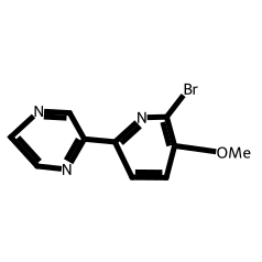 COc1ccc(-c2cnccn2)nc1Br